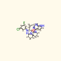 O=C([C@H](Nc1cc(F)cc(Cl)c1)C1CC1)N1CCCCC12CCCN(c1ncnc3[nH]ccc13)C2